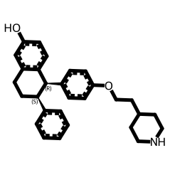 Oc1ccc2c(c1)CC[C@H](c1ccccc1)[C@@H]2c1ccc(OCCC2CCNCC2)cc1